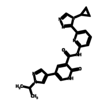 CC(C)n1cc(-c2c[nH]c(=O)c(C(=O)Nc3cccc(-c4nncn4C4CC4)n3)c2)cn1